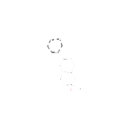 CCCCC1(O)CCN2CC(c3ccccc3)CCC2C1